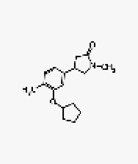 Cc1ccc(C2CC(=O)N(C)C2)cc1OC1CCCC1